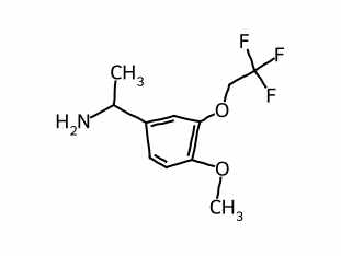 COc1ccc(C(C)N)cc1OCC(F)(F)F